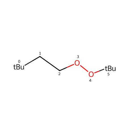 CC(C)(C)CCOOC(C)(C)C